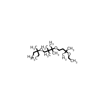 CCOC(C)(C)CCOC(C)(C)C(C)(C)COC(C)(CC)CC